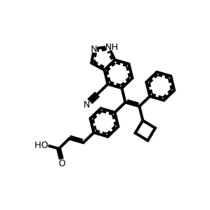 N#Cc1c(C(=C(c2ccccc2)C2CCC2)c2ccc(C=CC(=O)O)cc2)ccc2[nH]ncc12